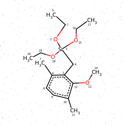 CCO[Si](Cc1c(C)ccc(C)c1OC)(OCC)OCC